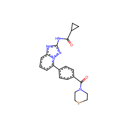 O=C(Nc1nc2cccc(-c3ccc(C(=O)N4CCSCC4)cc3)n2n1)C1CC1